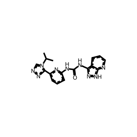 CC(C)n1cnnc1-c1cccc(NC(=O)Nc2n[nH]c3ncccc23)n1